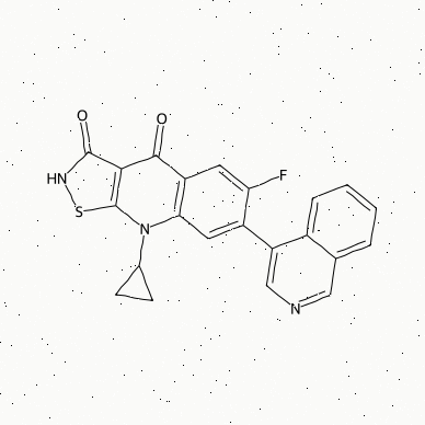 O=c1[nH]sc2c1c(=O)c1cc(F)c(-c3cncc4ccccc34)cc1n2C1CC1